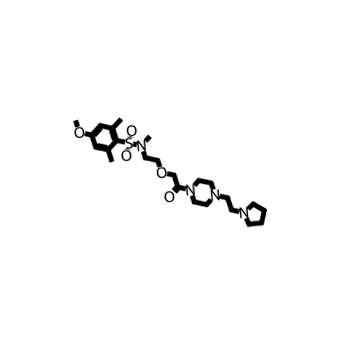 COc1cc(C)c(S(=O)(=O)N(C)CCOCC(=O)N2CCN(CCN3CCCC3)CC2)c(C)c1